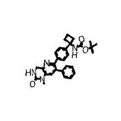 CN1C(=O)NCc2nc(-c3ccc(C4(NC(=O)OC(C)(C)C)CCC4)cc3)c(-c3ccccc3)cc21